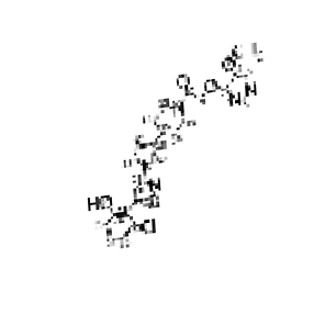 COc1cncnc1OCC(=O)N1CCC(c2nc(C3=NOC(c4c(O)cccc4Cl)C3)cs2)CC1